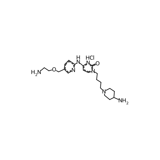 Cl.NCCOCc1ccc(Nc2ccn(CCCCN3CCC(N)CC3)c(=O)n2)nc1